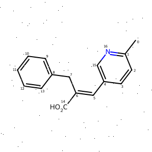 Cc1ccc(C=C(Cc2ccccc2)C(=O)O)cn1